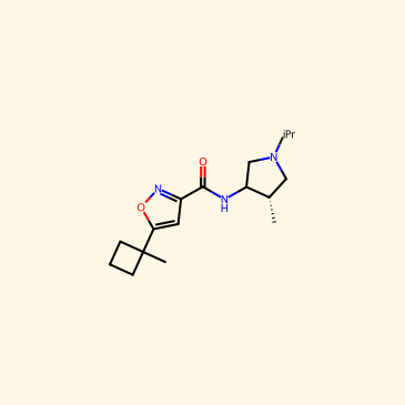 CC(C)N1CC(NC(=O)c2cc(C3(C)CCC3)on2)[C@@H](C)C1